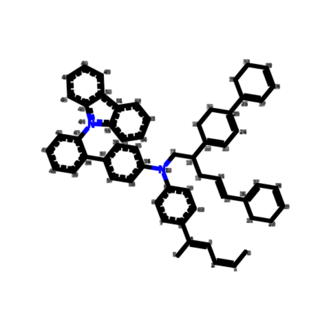 C/C=C\C=C(/C)c1ccc(N(CC(C/C=C/C2=CC=CCC2)C2=CC=C(C3=CC=CCC3)CC2)c2ccc(-c3ccccc3-n3c4ccccc4c4ccccc43)cc2)cc1